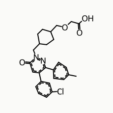 Cc1ccc(-c2nn(CC3CCC(COCC(=O)O)CC3)c(=O)cc2-c2cccc(Cl)c2)cc1